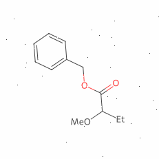 CCC(OC)C(=O)OCc1ccccc1